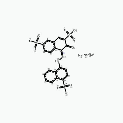 O=C1C(S(=O)(=O)[O-])=Cc2cc(S(=O)(=O)[O-])ccc2/C1=N\Nc1ccc(S(=O)(=O)[O-])c2ccccc12.[Na+].[Na+].[Na+]